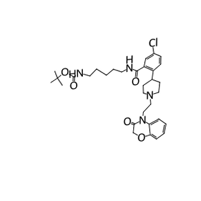 CC(C)(C)OC(=O)NCCCCCNC(=O)c1cc(Cl)ccc1C1CCN(CCN2C(=O)COc3ccccc32)CC1